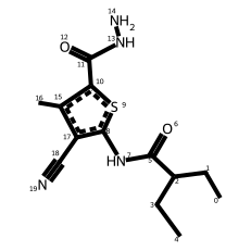 CCC(CC)C(=O)Nc1sc(C(=O)NN)c(C)c1C#N